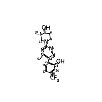 Cc1nc(N2CC[C@H](O)[C@@H](C)C2)nnc1-c1ccc(C(F)(F)F)cc1O